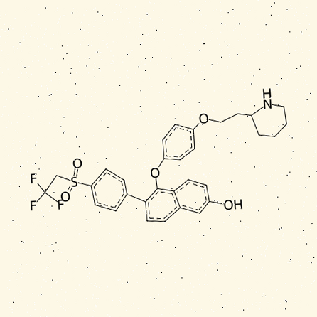 O=S(=O)(CC(F)(F)F)c1ccc(-c2ccc3cc(O)ccc3c2Oc2ccc(OCCC3CCCCN3)cc2)cc1